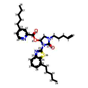 C=CCCCN1CC(OC(=O)c2cc(CCCCC)ccn2)N(c2nc3cccc(CCCCC)c3s2)C1=O